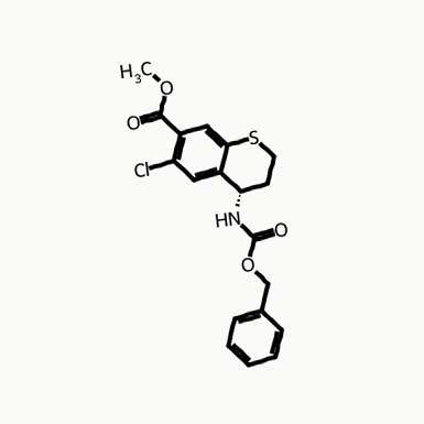 COC(=O)c1cc2c(cc1Cl)[C@@H](NC(=O)OCc1ccccc1)CCS2